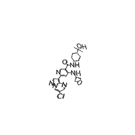 CC(C)(O)[C@H]1CC[C@H](NC(=O)c2cnc(-c3cnn4cc(Cl)cnc34)cc2NC2COC2)CC1